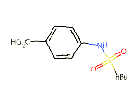 CCCCS(=O)(=O)Nc1ccc(C(=O)O)cc1